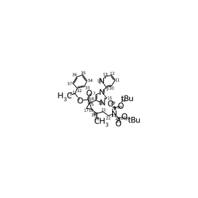 CC(OC(=O)[C@]1(c2cn(-c3ccccn3)cn2)CC1[C@H](C)CCN(C(=O)OC(C)(C)C)C(=O)OC(C)(C)C)c1ccccc1